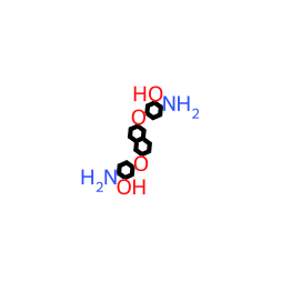 Nc1ccc(Oc2ccc3cc(Oc4ccc(N)c(O)c4)ccc3c2)cc1O